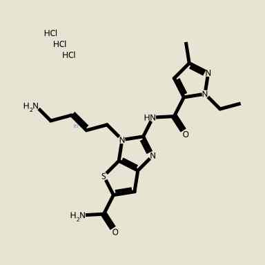 CCn1nc(C)cc1C(=O)Nc1nc2cc(C(N)=O)sc2n1C/C=C/CN.Cl.Cl.Cl